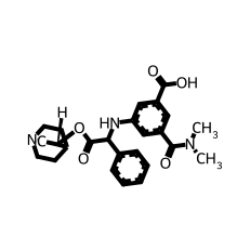 CN(C)C(=O)c1cc(NC(C(=O)O[C@H]2CN3CCC2CC3)c2ccccc2)cc(C(=O)O)c1